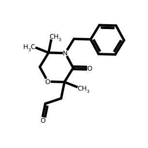 CC1(CC=O)OCC(C)(C)N(Cc2ccccc2)C1=O